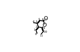 C/C=c1/c(C)cc(=O)o/c1=C/C